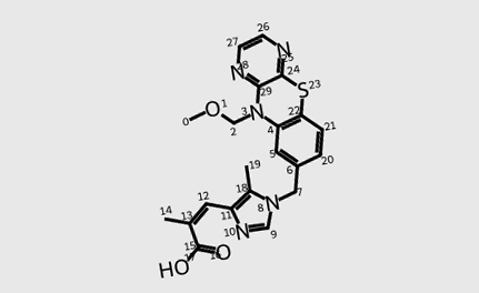 COCN1c2cc(Cn3cnc(C=C(C)C(=O)O)c3C)ccc2Sc2nccnc21